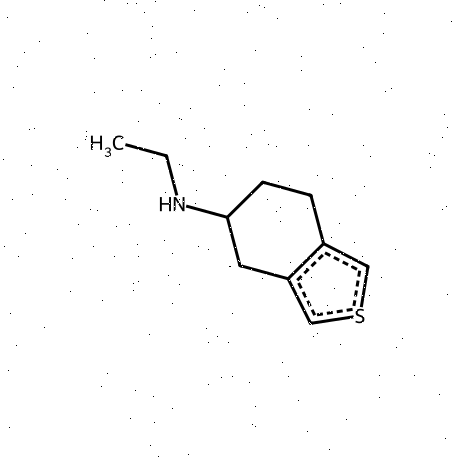 CCNC1CCc2cscc2C1